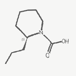 CCC[C@H]1CCCCN1C(=O)O